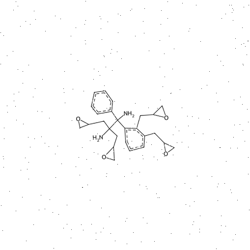 NC(CC1CO1)(CC1CO1)C(N)(c1ccccc1)c1cccc(CC2CO2)c1CC1CO1